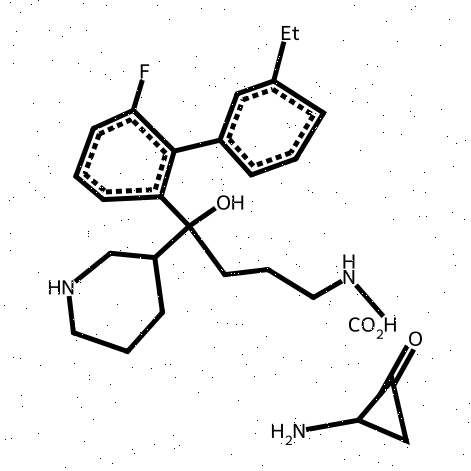 CCc1cccc(-c2c(F)cccc2C(O)(CCCNC(=O)O)C2CCCNC2)c1.NC1CC1=O